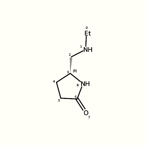 CCNC[C@H]1CCC(=O)N1